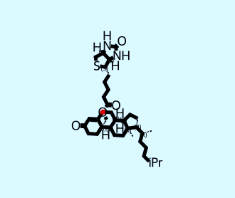 CC(C)CCC[C@@H](C)[C@H]1CC[C@H]2[C@@H]3CCC4=CC(=O)CC[C@]4(COC(=O)CCCC[C@@H]4SC[C@@H]5NC(=O)N[C@@H]54)[C@H]3CC[C@]12C